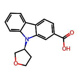 O=C(O)c1ccc2c3ccccc3n([C@H]3CCOC3)c2c1